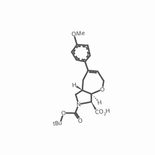 COc1ccc(C2=CCO[C@@H]3[C@@H](C2)CN(C(=O)OC(C)(C)C)[C@@H]3C(=O)O)cc1